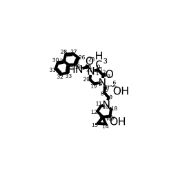 C[C@H]1C(=O)N([C@H](CO)CCN2CCC3(CC3)[C@H](O)C2)CCN1C(=O)Nc1cccc2ccccc12